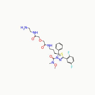 CON(C)C(=O)N1N=C(c2cc(F)ccc2F)S[C@@]1(CCCNC(=O)COCC(=O)NCCN)c1ccccc1